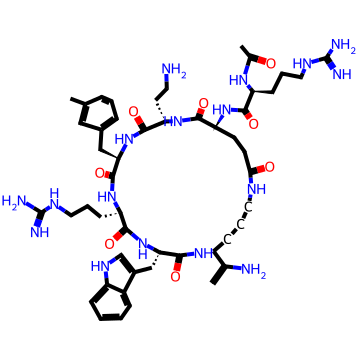 C=C(N)C1CCCNC(=O)CC[C@H](NC(=O)[C@H](CCCNC(=N)N)NC(C)=O)C(=O)N[C@@H](CCN)C(=O)N[C@H](Cc2cccc(C)c2)C(=O)N[C@@H](CCCNC(=N)N)C(=O)N[C@@H](Cc2c[nH]c3ccccc23)C(=O)N1